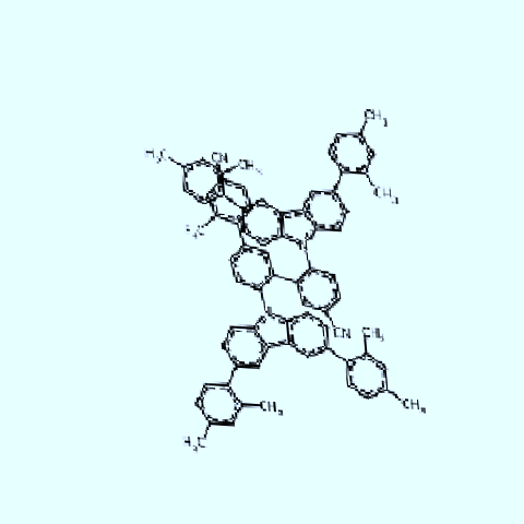 Cc1ccc(-c2ccc3c(c2)c2cc(-c4ccc(C)cc4C)ccc2n3-c2ccc(C#N)cc2-c2cc(-c3ccc(C#N)cc3C(F)(F)F)ccc2-n2c3ccc(-c4ccc(C)cc4C)cc3c3cc(-c4ccc(C)cc4C)ccc32)c(C)c1